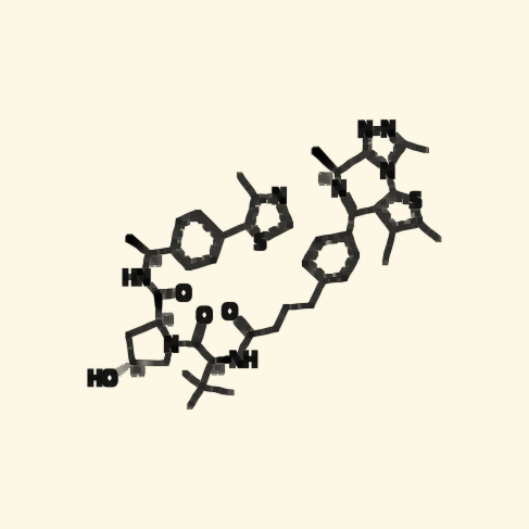 Cc1ncsc1-c1ccc([C@H](C)NC(=O)[C@@H]2C[C@@H](O)CN2C(=O)[C@@H](NC(=O)CCCc2ccc(C3=N[C@@H](C)c4nnc(C)n4-c4sc(C)c(C)c43)cc2)C(C)(C)C)cc1